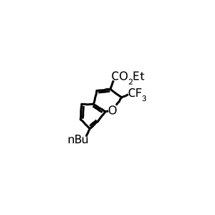 CCCCc1ccc2c(c1)OC(C(F)(F)F)C(C(=O)OCC)=C2